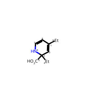 CCC1=CC(CC)(C(=O)O)NC=C1